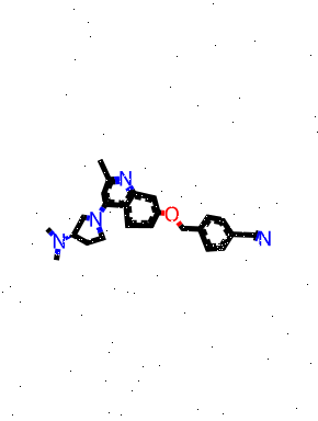 Cc1cc(N2CC[C@@H](N(C)C)C2)c2ccc(OCc3ccc(C#N)cc3)cc2n1